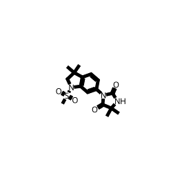 CC1(C)NC(=O)N(c2ccc3c(c2)N(S(C)(=O)=O)CC3(C)C)C1=O